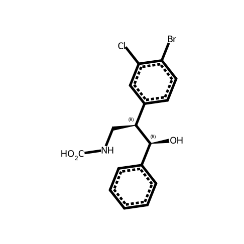 O=C(O)NC[C@@H](c1ccc(Br)c(Cl)c1)[C@@H](O)c1ccccc1